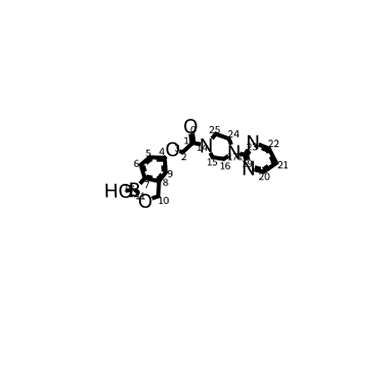 O=C(COc1ccc2c(c1)COB2O)N1CCN(c2ncccn2)CC1